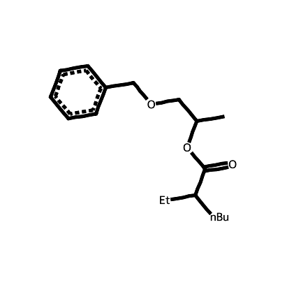 CCCCC(CC)C(=O)OC(C)COCc1ccccc1